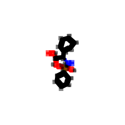 O=C(O)[C@@H](NS(=O)(=O)c1ccccc1)c1ccccc1